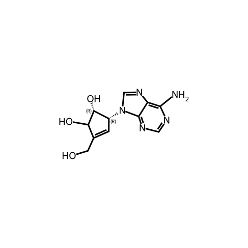 Nc1ncnc2c1ncn2[C@@H]1C=C(CO)C(O)[C@@H]1O